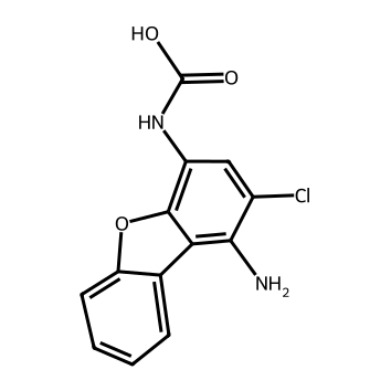 Nc1c(Cl)cc(NC(=O)O)c2oc3ccccc3c12